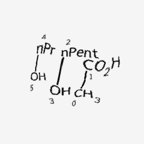 CC(=O)O.CCCCCO.CCCO